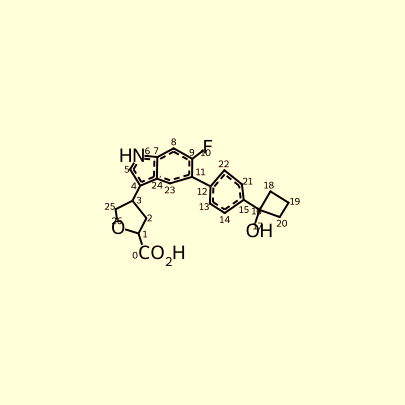 O=C(O)C1CC(c2c[nH]c3cc(F)c(-c4ccc(C5(O)CCC5)cc4)cc23)CO1